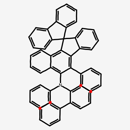 c1ccc(-c2ccccc2N(c2ccccc2)c2c(-c3ccccc3)c3c(c4ccccc24)C2(c4ccccc4-c4ccccc42)c2ccccc2-3)cc1